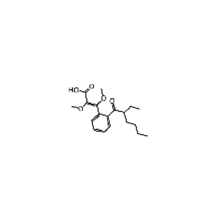 CCCCC(CC)C(=O)c1ccccc1C(OC)=C(OC)C(=O)O